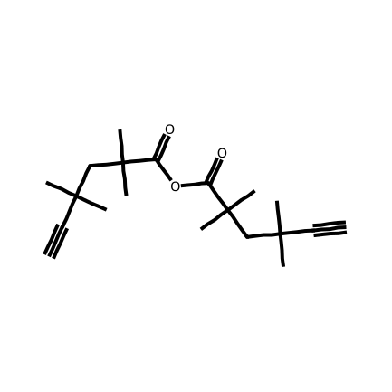 C#CC(C)(C)CC(C)(C)C(=O)OC(=O)C(C)(C)CC(C)(C)C#C